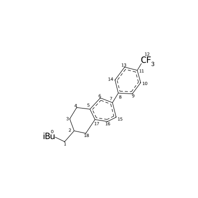 CCC(C)CC1CCc2cc(-c3ccc(C(F)(F)F)cc3)ccc2C1